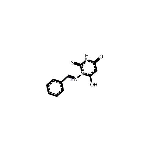 O=c1cc(O)n(/N=C/c2ccccc2)c(=S)[nH]1